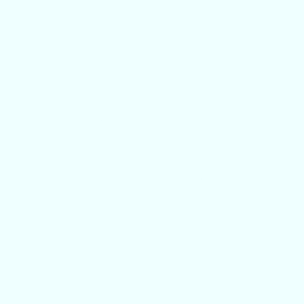 ClC=c1ccccc1=c1ccccc1=CCl